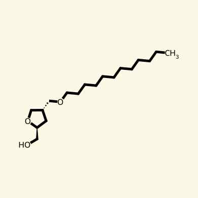 CCCCCCCCCCCCOC[C@H]1CO[C@H](CO)C1